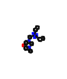 C1=CC2=CC(c3nc(-c4cccc(-n5c6ccc7oc8ccc9c%10ccccc%10n%10c%11cccc5c%11c6c7c8c9%10)c4)nc(C4C5C=Cc6ccccc6C54)n3)=CCC2C=C1